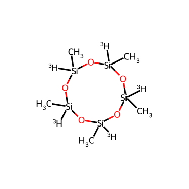 [3H][Si]1(C)O[Si]([3H])(C)O[Si]([3H])(C)O[Si]([3H])(C)O[Si]([3H])(C)O1